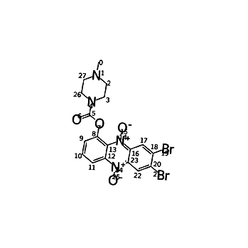 CN1CCN(C(=O)Oc2cccc3c2[n+]([O-])c2cc(Br)c(Br)cc2[n+]3[O-])CC1